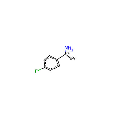 CC(C)[C@H](N)c1ccc(F)cc1